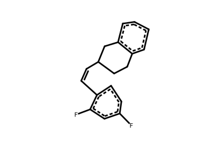 Fc1ccc(/C=C\C2CCc3ccccc3C2)c(F)c1